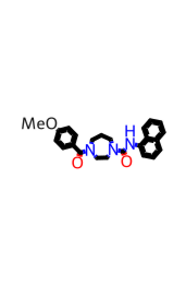 COc1ccc(C(=O)N2CCCN(C(=O)Nc3cccc4ccccc34)CC2)cc1